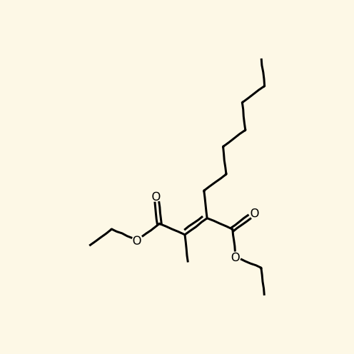 CCCCCCCC(C(=O)OCC)=C(C)C(=O)OCC